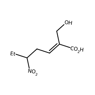 CCC(CC=C(CO)C(=O)O)[N+](=O)[O-]